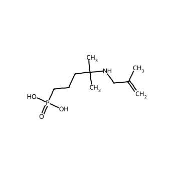 C=C(C)CNC(C)(C)CCCP(=O)(O)O